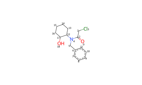 O=C(CCl)N(Cc1ccccc1)C1CCCCC1O